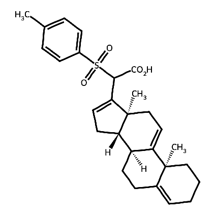 Cc1ccc(S(=O)(=O)C(C(=O)O)C2=CC[C@H]3[C@@H]4CCC5=CCCC[C@]5(C)C4=CC[C@]23C)cc1